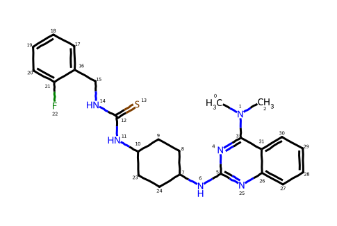 CN(C)c1nc(NC2CCC(NC(=S)NCc3ccccc3F)CC2)nc2ccccc12